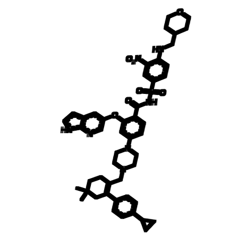 CC1(C)CCC(CN2CCN(c3ccc(C(=O)NS(=O)(=O)c4ccc(NCC5CCOCC5)c([N+](=O)[O-])c4)c(Oc4cnc5[nH]ccc5c4)c3)CC2)=C(c2ccc(C3CC3)cc2)C1